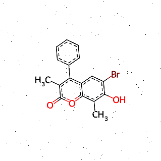 Cc1c(-c2ccccc2)c2cc(Br)c(O)c(C)c2oc1=O